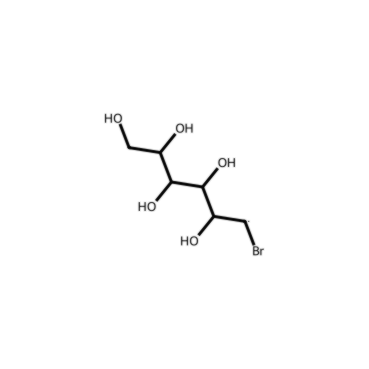 OCC(O)C(O)C(O)C(O)[CH]Br